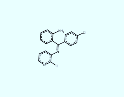 Nc1ccccc1/C(=N\c1cccnc1Cl)c1ccc(Cl)cc1